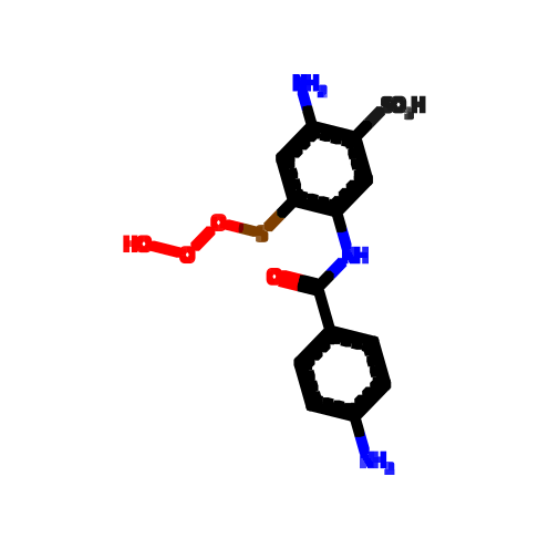 Nc1ccc(C(=O)Nc2cc(S(=O)(=O)O)c(N)cc2SOOO)cc1